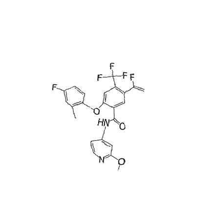 C=C(F)c1cc(C(=O)Nc2ccnc(OC)c2)c(Oc2ccc(F)cc2C)cc1C(F)(F)F